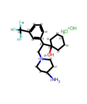 Cl.Cl.NC1CCN(CC(c2cccc(C(F)(F)F)c2)C2(O)CCCCC2)CC1